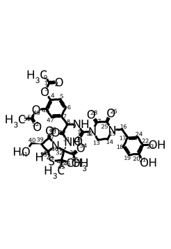 CC(=O)Oc1ccc(C(NC(=O)N2CCN(Cc3ccc(O)c(O)c3)C(=O)C2=O)C(=O)N[C@@]2(C(=O)O)N3C(=O)[C@H](CO)[C@H]3SC2(C)C)cc1OC(C)=O